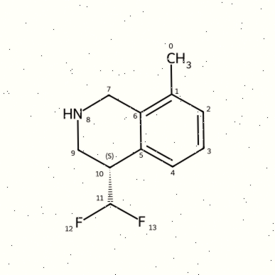 Cc1cccc2c1CNC[C@H]2C(F)F